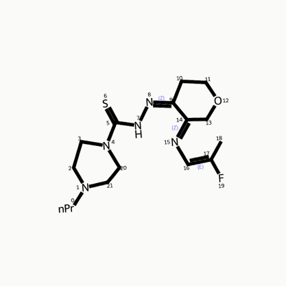 CCCN1CCN(C(=S)N/N=C2/CCOC/C2=N\C=C(/C)F)CC1